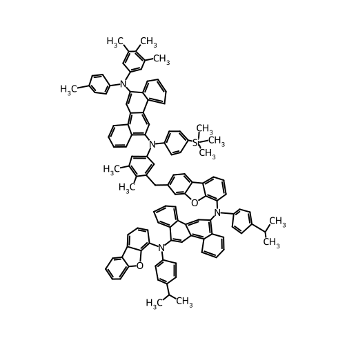 Cc1ccc(N(c2cc(C)c(C)c(C)c2)c2cc3c4ccccc4c(N(c4ccc([Si](C)(C)C)cc4)c4cc(C)c(C)c(Cc5ccc6c(c5)oc5c(N(c7ccc(C(C)C)cc7)c7cc8c9ccccc9c(N(c9ccc(C(C)C)cc9)c9cccc%10c9oc9ccccc9%10)cc8c8ccccc78)cccc56)c4)cc3c3ccccc23)cc1